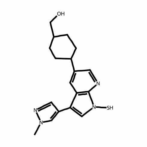 Cn1cc(-c2cn(S)c3ncc(C4CCC(CO)CC4)cc23)cn1